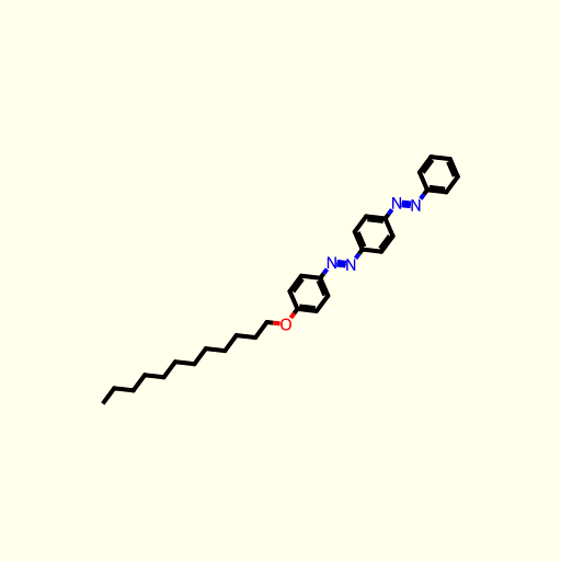 CCCCCCCCCCCCOc1ccc(N=Nc2ccc(N=Nc3ccccc3)cc2)cc1